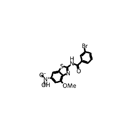 COc1cc([NH+]([O-])O)cc2sc(NC(=O)c3cccc(Br)c3)nc12